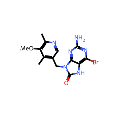 COc1c(C)ncc(Cn2c(=O)[nH]c3c(Br)nc(N)nc32)c1C